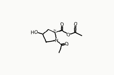 CC(=O)OC(=O)[C@@H]1CC(O)CN1C(C)=O